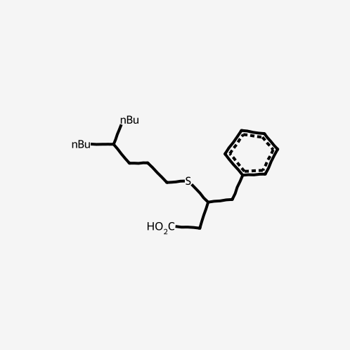 CCCCC(CCCC)CCCSC(CC(=O)O)Cc1ccccc1